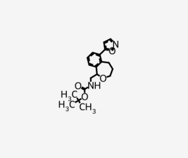 CC(C)(C)OC(=O)NCC1OCCCc2c(-c3ccno3)cccc21